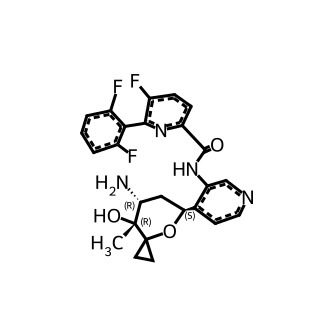 C[C@@]1(O)[C@H](N)C[C@@H](c2ccncc2NC(=O)c2ccc(F)c(-c3c(F)cccc3F)n2)OC12CC2